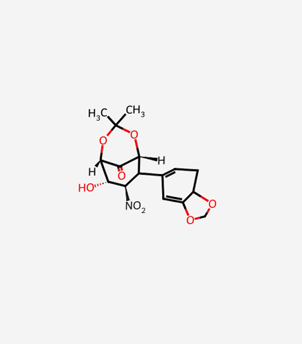 CC1(C)O[C@@H]2C(=O)[C@H](O1)C(C1=CCC3OCOC3=C1)[C@@H]([N+](=O)[O-])[C@@H]2O